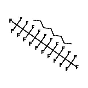 CCCCCCCC.FC(F)(F)C(F)(F)C(F)(F)C(F)(F)C(F)(F)C(F)(F)C(F)(F)C(F)(F)C(F)(F)C(F)(F)F